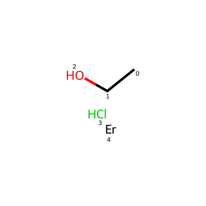 CCO.Cl.[Er]